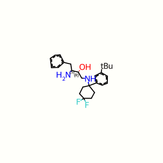 CC(C)(C)c1cccc(C2(NC[C@@H](O)[C@@H](N)Cc3ccccc3)CCC(F)(F)CC2)c1